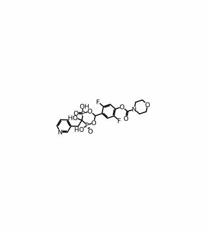 O=C(Oc1cc(F)c(C2OP(=O)(O)C(O)(Cc3cccnc3)P(=O)(O)O2)cc1F)N1CCOCC1